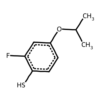 CC(C)Oc1ccc(S)c(F)c1